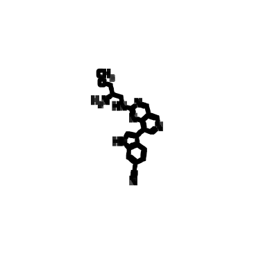 COC[C@H](N)CNc1ncc2cncc(-c3c[nH]c4cc(C#N)ccc34)c2n1